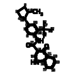 CC1CCCN1c1ccc(NC(=O)c2c[nH]c3ccccc3c2=O)c(C(F)(F)F)c1